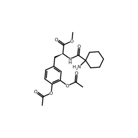 COC(=O)[C@H](Cc1ccc(OC(C)=O)c(OC(C)=O)c1)NC(=O)C1(N)CCCCC1